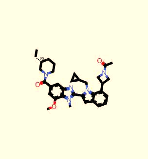 CC[C@@H]1CCCN(C(=O)c2cc(OC)c3c(c2)nc(-c2cc4cccc(C5CN(C(C)=O)C5)c4n2CC2CC2)n3C)C1